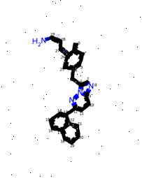 C=c1ccc(Cc2cnc3ccc(-c4cccc5ccccc45)nn23)c/c1=C/C=C\N